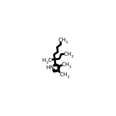 CCCCCC(C)(CCC)c1[nH]cc(C)c1C